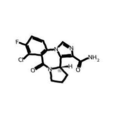 NC(=O)c1ncn2c1[C@@H]1CCCN1C(=O)c1c-2ccc(F)c1Cl